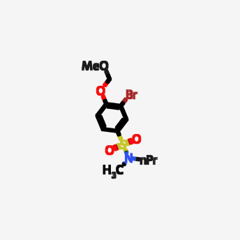 CCCN(C)S(=O)(=O)c1ccc(OCOC)c(Br)c1